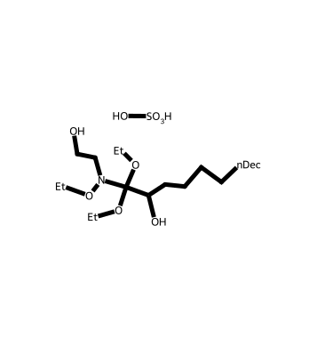 CCCCCCCCCCCCCCC(O)C(OCC)(OCC)N(CCO)OCC.O=S(=O)(O)O